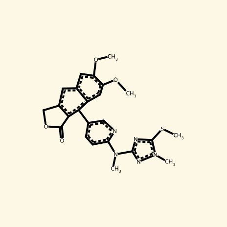 COc1cc2cc3c(c(-c4ccc(N(C)c5nc(SC)n(C)n5)nc4)c2cc1OC)C(=O)OC3